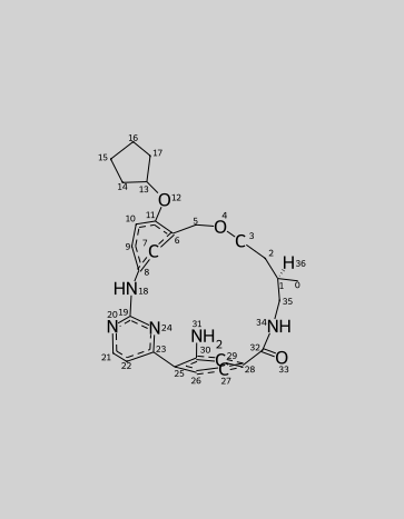 C[C@@H]1CCOCc2cc(ccc2OC2CCCC2)Nc2nccc(n2)-c2ccc(cc2N)C(=O)NC1